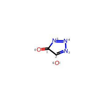 O=C1C=NN=N1.[O]